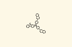 c1ccc2cc(-c3ccc(N(c4ccc(-c5ccc6ccccc6c5)cc4)c4ccc5c(c4)sc4ccccc45)cc3)ccc2c1